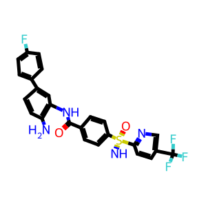 N=S(=O)(c1ccc(C(=O)Nc2cc(-c3ccc(F)cc3)ccc2N)cc1)c1ccc(C(F)(F)F)cn1